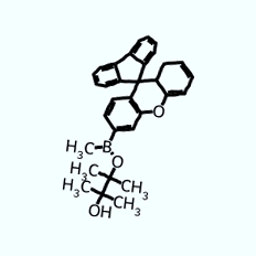 CB(OC(C)(C)C(C)(C)O)c1ccc2c(c1)OC1=CC=CCC1C21c2ccccc2-c2ccccc21